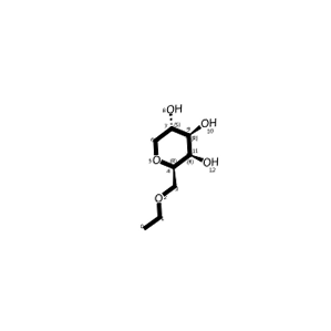 CCOC[C@H]1O[CH][C@H](O)[C@@H](O)[C@H]1O